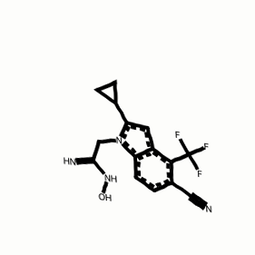 N#Cc1ccc2c(cc(C3CC3)n2CC(=N)NO)c1C(F)(F)F